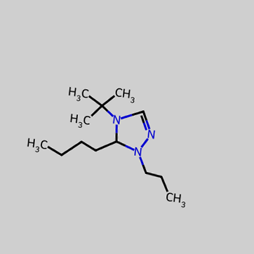 CCCCC1N(CCC)N=CN1C(C)(C)C